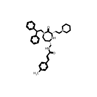 Cc1ccc(/C=C/C(=O)NC[C@@H]2CCN(CC(c3ccccc3)c3ccccc3)C(=O)[C@H](CCN3CCCCC3)N2)cc1